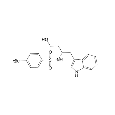 CC(C)(C)c1ccc(S(=O)(=O)NC(CCO)Cc2c[nH]c3ccccc23)cc1